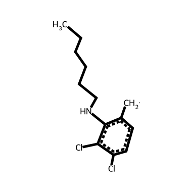 [CH2]c1ccc(Cl)c(Cl)c1NCCCCCC